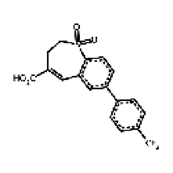 O=C(O)C1=Cc2cc(-c3ccc(C(F)(F)F)cc3)ccc2S(=O)(=O)CC1